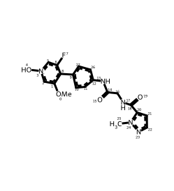 COc1c[n+](O)cc(F)c1-c1ccc(NC(=O)CNC(=O)c2ccnn2C)cc1